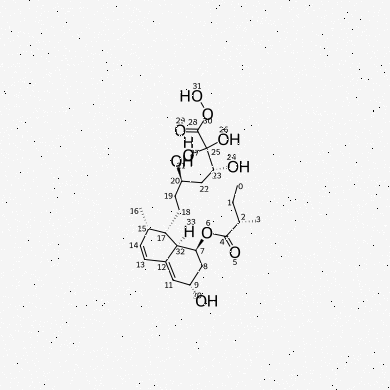 CC[C@H](C)C(=O)O[C@H]1C[C@H](O)C=C2C=C[C@H](C)[C@H](CC[C@@H](O)C[C@@H](O)C(O)(O)C(=O)OO)[C@H]21